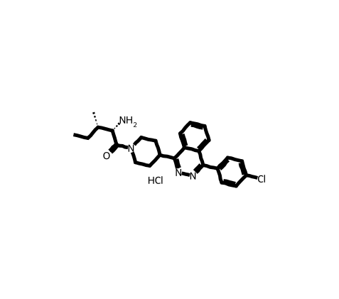 CC[C@H](C)[C@H](N)C(=O)N1CCC(c2nnc(-c3ccc(Cl)cc3)c3ccccc23)CC1.Cl